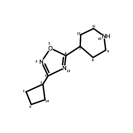 C1CC(c2noc(C3CCNCC3)n2)C1